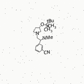 CNC(CN1CCC(O[Si](C)(C)C(C)(C)C)C1)c1cccc(C#N)c1